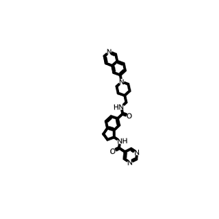 O=C(NCC1CCN(c2ccc3cnccc3c2)CC1)c1ccc2c(c1)C(NC(=O)c1cncnc1)CC2